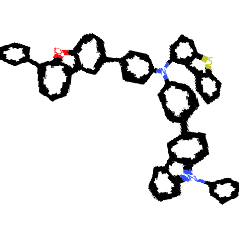 c1ccc(-c2cccc3c2oc2ccc(-c4ccc(N(c5ccc(-c6ccc7c(c6)c6ccccc6n7-c6ccccc6)cc5)c5cccc6sc7ccccc7c56)cc4)cc23)cc1